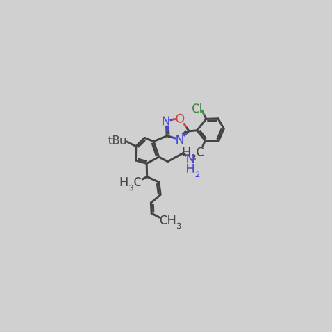 C/C=C\C=C/C(C)c1cc(C(C)(C)C)cc(-c2noc(-c3c(C)cccc3Cl)n2)c1CCN